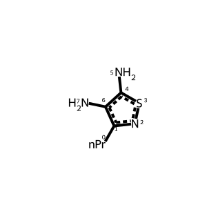 CCCc1nsc(N)c1N